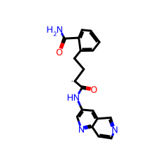 NC(=O)c1ccccc1CC[CH]C(=O)Nc1cnc2ccncc2c1